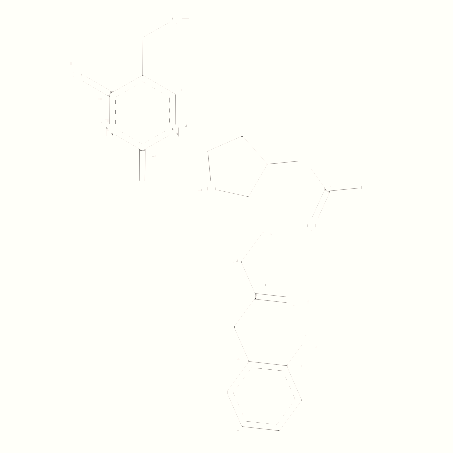 CCc1cn([C@@H]2CC(OC(C)=O)[C@H](CCC(=O)Cc3ccccc3Cl)O2)c(=O)[nH]c1=O